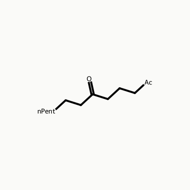 CCCCCCCC(=O)CCCC(C)=O